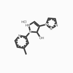 Cc1ccnc(N2NC=C(n3ccnn3)C2O)c1.Cl